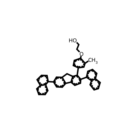 Cc1cc(-c2c(-c3cccc4ccccc34)ccc3c2Cc2cc(-c4cccc5ccccc45)ccc2-3)ccc1OCCO